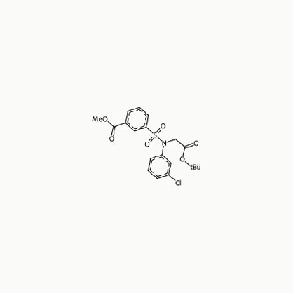 COC(=O)c1cccc(S(=O)(=O)N(CC(=O)OC(C)(C)C)c2cccc(Cl)c2)c1